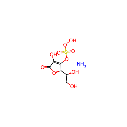 N.O=C1O[C@H]([C@@H](O)CO)C(OS(=O)(=O)OO)=C1O